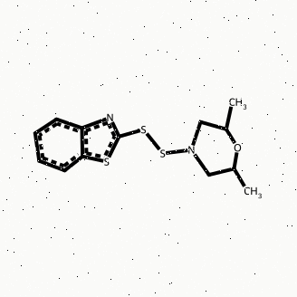 CC1CN(SSc2nc3ccccc3s2)CC(C)O1